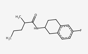 CCCC(C)C(=O)NC1CCc2cc(F)ccc2C1